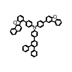 c1ccc(-c2ccc(-c3ccc(N(c4ccc(-c5ccc6oc7ccccc7c6c5)cc4)c4ccc(-c5cccc6oc7c8ccccc8ccc7c56)cc4)cc3)cc2-c2ccccc2)cc1